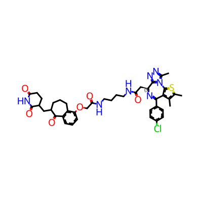 Cc1sc2c(c1C)C(c1ccc(Cl)cc1)=N[C@@H](CC(=O)NCCCCNC(=O)COc1cccc3c1CCCC(CC1CCC(=O)NC1=O)C3=O)c1nnc(C)n1-2